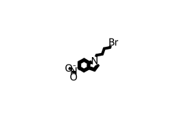 O=[N+]([O-])c1ccc2c(ccn2CCCCBr)c1